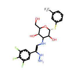 NN/C(=C\NC1C(O)[C@@H](Sc2cccc(C(F)(F)F)c2)OC(CO)[C@@H]1O)c1cc(F)c(F)c(F)c1